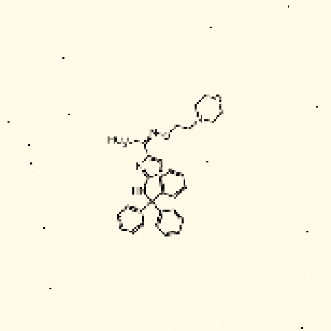 O=C(O)C(=NOCCN1CCOCC1)c1csc(NC(c2ccccc2)(c2ccccc2)c2ccccc2)n1